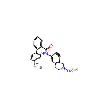 CCCCCCN1CCc2cc(NC(=O)c3ccccc3-c3ccc(C(F)(F)F)cc3)ccc2C1